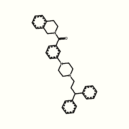 O=C(c1cccc(N2CCN(CCC(c3ccccc3)c3ccccc3)CC2)c1)N1CCc2ccccc2C1